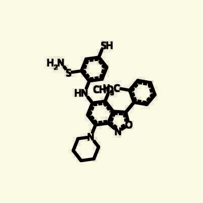 Cc1ccccc1-c1onc2c(N3CCCCC3)cc(Nc3ccc(S)cc3SN)c(C=O)c12